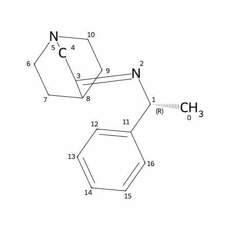 C[C@@H](N=C1CN2CCC1CC2)c1ccccc1